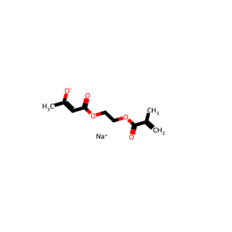 C=C(C)C(=O)OCCOC(=O)C=C(C)[O-].[Na+]